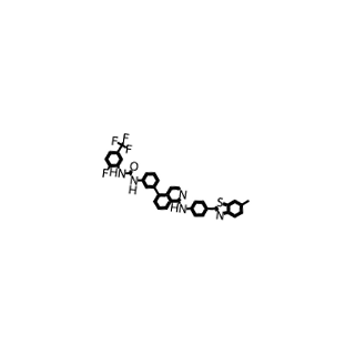 Cc1ccc2nc(-c3ccc(Nc4nccc5c(-c6cccc(NC(=O)Nc7cc(C(F)(F)F)ccc7F)c6)cccc45)cc3)sc2c1